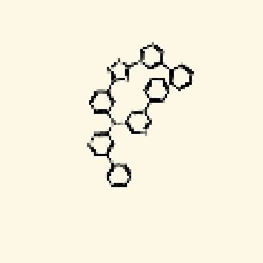 c1ccc(-c2cccc(-c3nc(-c4cccc(N(c5cncc(-c6ccccc6)c5)c5cncc(-c6ccccc6)c5)c4)ns3)c2)cc1